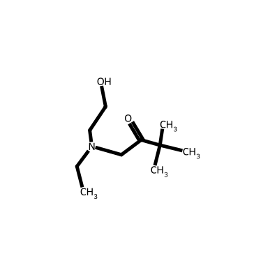 CCN(CCO)CC(=O)C(C)(C)C